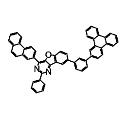 c1ccc(-c2nc(-c3ccc4c(ccc5ccccc54)c3)c3oc4ccc(-c5cccc(-c6ccc7c8ccccc8c8ccccc8c7c6)c5)cc4c3n2)cc1